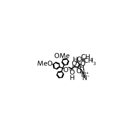 COc1ccc(C(OC[C@@H](O)[C@H]2O[C@@H]3OC(C)(C)O[C@@H]3[C@@H]2ON=[N+]=[N-])(c2ccccc2)c2ccc(OC)cc2)cc1